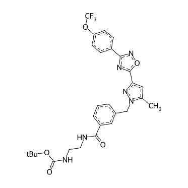 Cc1cc(-c2nc(-c3ccc(OC(F)(F)F)cc3)no2)nn1Cc1cccc(C(=O)NCCNC(=O)OC(C)(C)C)c1